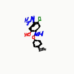 CC(C)(C)c1ccc(ONc2cc(Cl)c(N)cc2O)cc1